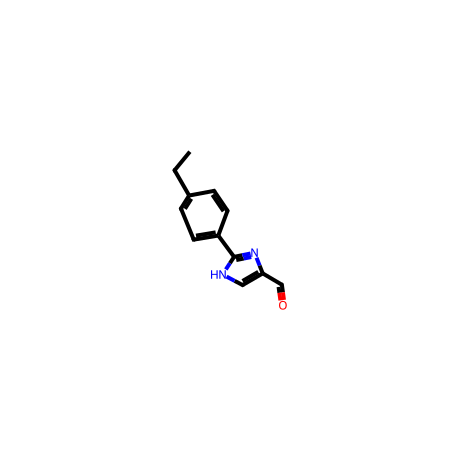 CCc1ccc(-c2nc(C=O)c[nH]2)cc1